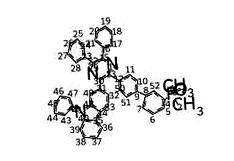 CP(C)(=O)c1cccc(-c2ccc(-c3nc(-c4ccccc4)c(-c4ccccc4)nc3-c3ccc4c5ccccc5n(-c5ccccc5)c4c3)cc2)c1